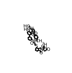 Cc1ccc(S(=O)(=O)N2CC[C@@H]3[C@H](CO)Nc4ccc(-c5cccc(NC(=O)C=CSc6cccc7c6CN(C6CCC(=O)NC6=O)C7=O)c5)cc4[C@@H]32)cc1